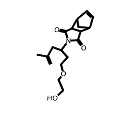 C=C(C)CC(CCOCCO)N1C(=O)C2C3C=CC(C3)C2C1=O